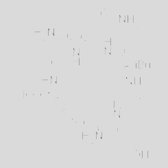 CC[C@H](C)[C@@H]1NC(=O)[C@H](Cc2ccc(O)cc2)NC(=O)[C@@H](N)CSSC[C@@H](C(=O)O)NC(=O)[C@H](CC(N)=O)NC(=O)[C@H](CCC(N)=O)NC1=O